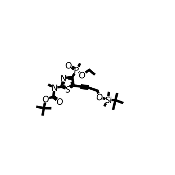 CCOP(C)(=O)c1nc(N(C)C(=O)OC(C)(C)C)sc1C#CCO[Si](C)(C)C(C)(C)C